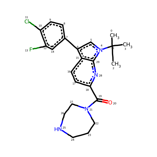 CC(C)(C)n1cc(-c2ccc(Cl)c(F)c2)c2ccc(C(=O)N3CCCNCC3)nc21